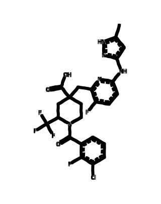 Cc1cc(Nc2ccc(F)c(CC3(C(=O)O)CCN(C(=O)c4cccc(Cl)c4F)C(C(F)(F)F)C3)n2)n[nH]1